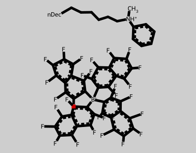 CCCCCCCCCCCCCCCC[NH+](C)c1ccccc1.Fc1c(F)c(F)c2c(F)c([B-](c3c(F)c(F)c4c(F)c(F)c(F)c(F)c4c3F)(c3c(F)c(F)c4c(F)c(F)c(F)c(F)c4c3F)c3c(F)c(F)c4c(F)c(F)c(F)c(F)c4c3F)c(F)c(F)c2c1F